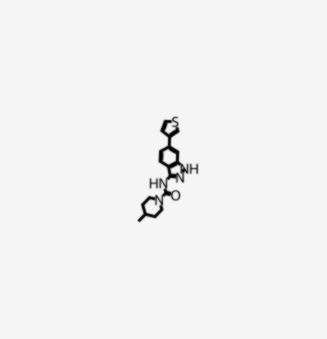 CC1CCN(C(=O)Nc2n[nH]c3cc(-c4ccsc4)ccc23)CC1